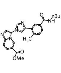 CCCCNC(=O)c1ccc(C)c(-c2cn(-c3cnc4ccc(C(=O)OC)cn34)cn2)c1